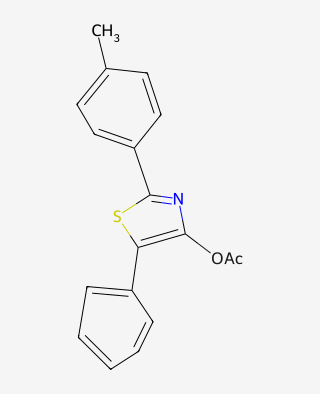 CC(=O)Oc1nc(-c2ccc(C)cc2)sc1-c1ccccc1